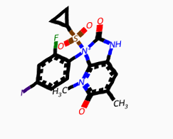 Cc1cc2c(n(C)c1=O)[N+](c1ccc(I)cc1F)(S(=O)(=O)C1CC1)C(=O)N2